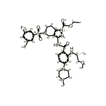 CCOC(=O)n1nc(NC(=O)c2ccc(N3CCN(C)CC3)cc2N[C@H](C)COC)c2c1CCN(S(=O)(=O)c1cc(F)cc(F)c1)C2